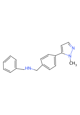 Cn1nccc1-c1ccc(CNCc2ccccc2)cc1